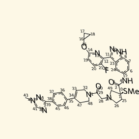 CS[C@@]1(C(=O)Nc2ccc3[nH]nc(-c4nc(OC5CC5)ccc4F)c3c2)CCN(CC(=O)N2CC=C(c3ccc(-c4ncn(C)n4)cc3)CC2)C1